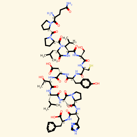 CC(C)C[C@H](NC(=O)[C@H](CC(C)C)NC(=O)[C@@H]1CCCN1C(=O)[C@@H]1CCCN1C(=O)[C@@H](N)CCC(N)=O)C(=O)N[C@@H](CO)C(=O)N[C@@H](CS)C(=O)N[C@@H](Cc1ccc(O)cc1)C(=O)N[C@@H](CC(=O)O)C(=O)N[C@H](C(=O)N[C@@H](CC(C)C)C(=O)N[C@@H](C)C(=O)N1CCC[C@H]1C(=O)N[C@@H](Cc1c[nH]cn1)C(=O)N[C@@H](Cc1ccccc1)C(=O)O)[C@@H](C)O